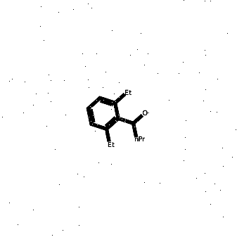 CCCC([O])c1c(CC)cccc1CC